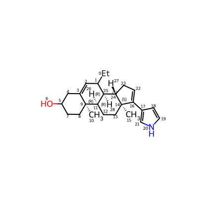 CCC1C=C2CC(O)CC[C@]2(C)[C@@H]2CC[C@]3(C)C(c4cc[nH]c4)=CC[C@H]3[C@H]12